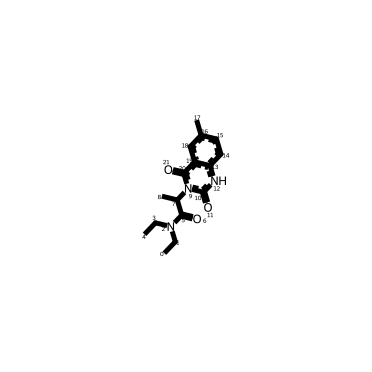 CCN(CC)C(=O)C(C)n1c(=O)[nH]c2ccc(C)cc2c1=O